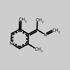 C=N/C(C)=c1\c(C)cncc1=C